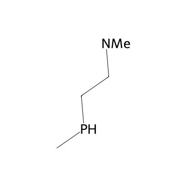 CNCCPC